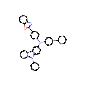 c1ccc(-c2ccc(N(c3ccc(-c4nc5ccccc5o4)cc3)c3ccc4c(c3)c3ccccc3n4-c3ccccc3)cc2)cc1